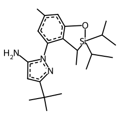 Cc1cc2c(c(-n3nc(C(C)(C)C)cc3N)c1)C(C)[Si](C(C)C)(C(C)C)O2